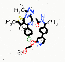 CCOCCOc1cc(-c2ccc([C@@H](C)NC(=O)C[C@@H]3N=C(c4ccc(Cl)cc4)c4c(sc(C)c4C)-n4c(C)nnc43)cc2)ccn1